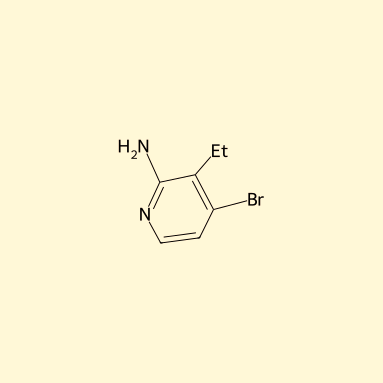 CCc1c(Br)ccnc1N